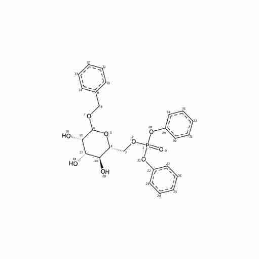 O=P(OC[C@H]1OC(OCc2ccccc2)[C@@H](O)[C@@H](O)[C@@H]1O)(Oc1ccccc1)Oc1ccccc1